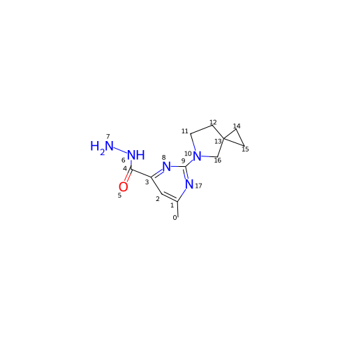 Cc1cc(C(=O)NN)nc(N2CCC3(CC3)C2)n1